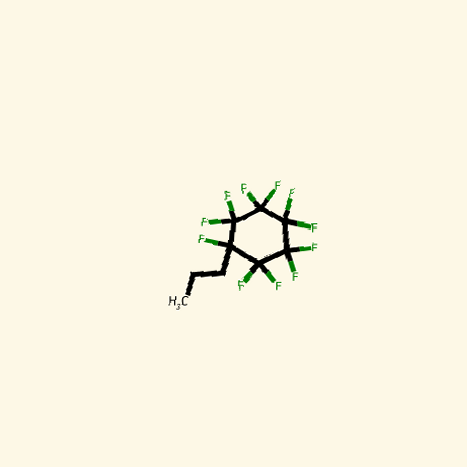 CCCC1(F)C(F)(F)C(F)(F)C(F)(F)C(F)(F)C1(F)F